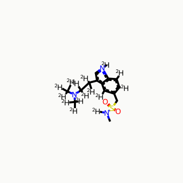 [2H]c1c(CS(=O)(=O)N([2H])C)c([2H])c2c(C([2H])([2H])C([2H])([2H])N(C([2H])([2H])[2H])C([2H])([2H])[2H])cn([2H])c2c1[2H]